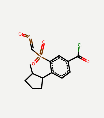 CC1CCCC1c1ccc(C(=O)Cl)cc1S(=O)(=O)C=S=O